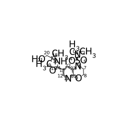 CN(C)S(=O)(=O)N1CCOc2ncc(C(=O)NC(C)(C)CO)cc21